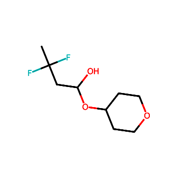 CC(F)(F)CC(O)OC1CCOCC1